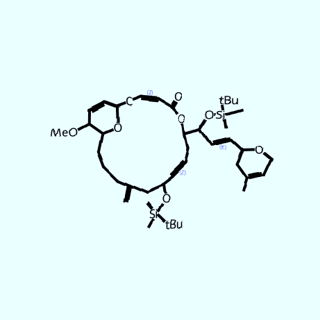 C=C1CCCC2OC(C=CC2OC)C/C=C\C(=O)OC(C(/C=C/C2CC(C)=CCO2)O[Si](C)(C)C(C)(C)C)C/C=C\C(O[Si](C)(C)C(C)(C)C)C1